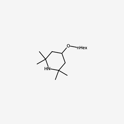 CCCCCCOC1CC(C)(C)NC(C)(C)C1